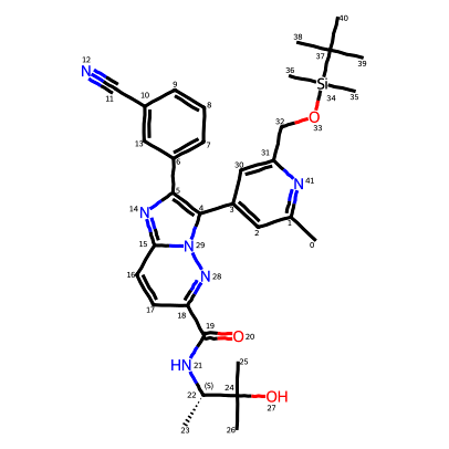 Cc1cc(-c2c(-c3cccc(C#N)c3)nc3ccc(C(=O)N[C@@H](C)C(C)(C)O)nn23)cc(CO[Si](C)(C)C(C)(C)C)n1